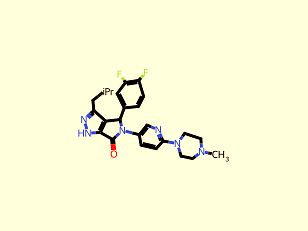 CC(C)Cc1n[nH]c2c1C(c1ccc(F)c(F)c1)N(c1ccc(N3CCN(C)CC3)nc1)C2=O